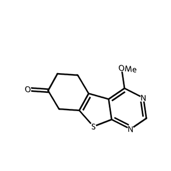 COc1ncnc2sc3c(c12)CCC(=O)C3